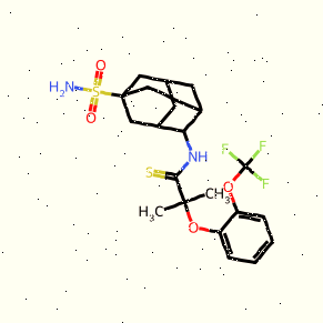 CC(C)(Oc1ccccc1OC(F)(F)F)C(=S)NC1C2CC3CC1CC(S(N)(=O)=O)(C3)C2